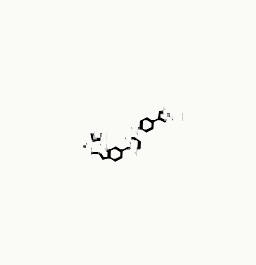 CN(C(=O)c1cc2ccc(-c3nccc(Nc4ccc(-c5cn[nH]c5)cc4)n3)cc2[nH]1)C1COC1